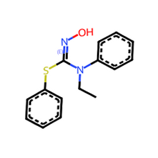 CCN(/C(=N\O)Sc1ccccc1)c1ccccc1